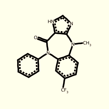 CN1c2ccc(C(F)(F)F)cc2N(c2ccccc2)C(=O)c2[nH]cnc21